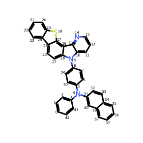 c1ccc(N(c2ccc(-n3c4cccnc4c4c5sc6ccccc6c5ccc43)cc2)c2ccc3ccccc3c2)cc1